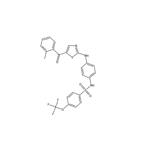 Cc1ccccc1C(=O)c1cnc(Nc2ccc(NS(=O)(=O)c3ccc(OC(F)(F)F)cc3)cc2)s1